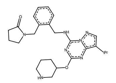 CC(C)c1cnn2c(NCc3ccccc3CN3CCCC3=O)nc(OC3CCCNC3)nc12